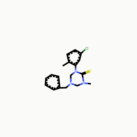 Cc1ccc(Cl)cc1N1CN(Cc2ccccc2)CN(C)C1=S